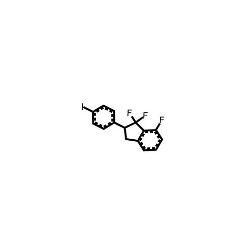 Fc1cccc2c1C(F)(F)C(c1ccc(I)cc1)C2